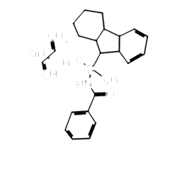 C=CC=C.[CH3][Ti]([CH3])([NH]C(=O)c1ccccc1)[CH]1C2C=CC=CC2C2CCCCC21.[SiH4]